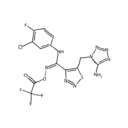 Nc1nnnn1Cc1snnc1C(=NOC(=O)C(F)(F)F)Nc1ccc(F)c(Cl)c1